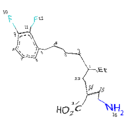 CCC(CCCc1cccc(F)c1F)CC(CN)C(=O)O